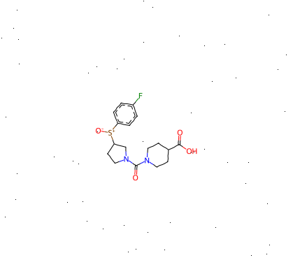 O=C(O)C1CCN(C(=O)N2CCC([S+]([O-])c3ccc(F)cc3)C2)CC1